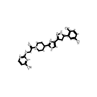 N#Cc1ccnc(OCC(=O)N2CCC(c3nc(C4=NOC(c5cc(Cl)ccc5Cl)C4)cs3)CC2)n1